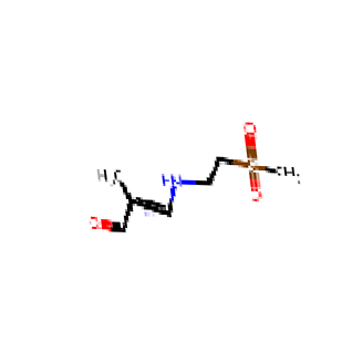 C/C(C=O)=C\NCCS(C)(=O)=O